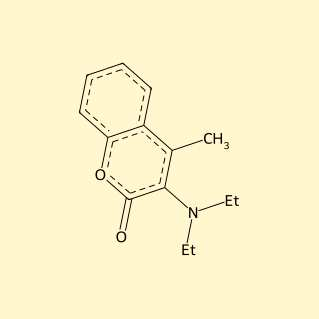 CCN(CC)c1c(C)c2ccccc2oc1=O